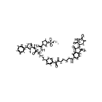 CS(=O)(=O)N1CCC(C(=O)N[C@@H](COCc2ccc(C(=O)NCCCCNc3ccc4c(c3)C(=O)N(C3CCC(=O)NC3=O)C4=O)cc2)C(=O)NC2NC(c3ccccc3)CS2)C1